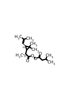 CC(C)=C[C@@H]1C([C@@H](C)C(=O)OOC(=O)CC(C)C)C1(C)C